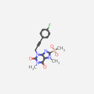 Cn1c(=O)c2c(nc(S(C)(=O)=O)n2C)n(CC#Cc2ccc(F)cc2)c1=O